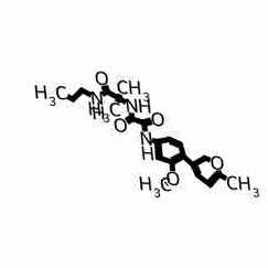 CCCNC(=O)C(C)(C)NC(=O)C(=O)Nc1ccc(C2=CC=C(C)OC2)c(OC)c1